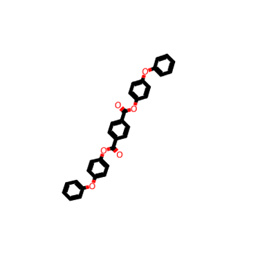 O=C(Oc1ccc(Oc2ccccc2)cc1)c1ccc(C(=O)Oc2ccc(Oc3ccccc3)cc2)cc1